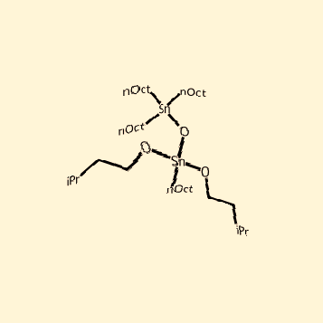 CCCCCCC[CH2][Sn]([CH2]CCCCCCC)([CH2]CCCCCCC)[O][Sn]([CH2]CCCCCCC)([O]CCC(C)C)[O]CCC(C)C